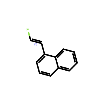 F/C=C/c1cccc2ccccc12